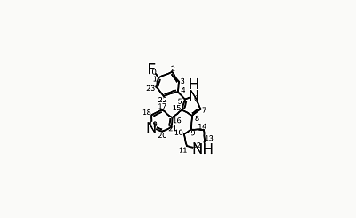 Fc1ccc(-c2[nH]cc(C3CCNCC3)c2-c2ccncc2)cc1